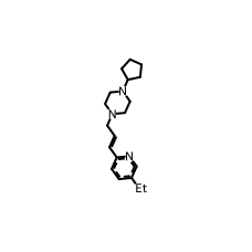 CCc1ccc(/C=C/CN2CCN(C3CCCC3)CC2)nc1